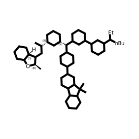 CCCCC(CC)C1CCCC(C2CCCC(C(C3CCC(C4CCC5C6CCCCC6C(C)(C)C5C4)CC3)[C@H]3CCC[C@@H](C(C)CC4[C@@H]5CCCCC5O[C@@H]4C)C3)C2)C1